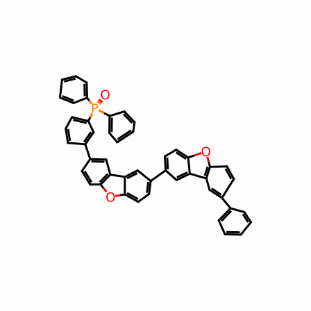 O=P(c1ccccc1)(c1ccccc1)c1cccc(-c2ccc3oc4ccc(-c5ccc6oc7ccc(-c8ccccc8)cc7c6c5)cc4c3c2)c1